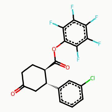 O=C1CC[C@@H](C(=O)Oc2c(F)c(F)c(F)c(F)c2F)[C@H](c2cccc(Cl)c2)C1